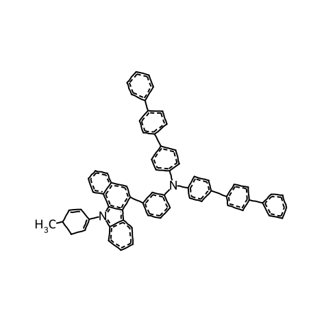 CC1C=CC(n2c3ccccc3c3c(-c4cccc(N(c5ccc(-c6ccc(-c7ccccc7)cc6)cc5)c5ccc(-c6ccc(-c7ccccc7)cc6)cc5)c4)cc4ccccc4c32)=CC1